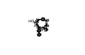 CC1NC(=O)[C@H](Cc2ccc(-c3ccccc3)cc2)NC(=O)[C@@H](Cc2cccs2)NC(=O)CCC(=O)NC2=CCC(C=C2)C[C@@H](C(=O)O)NC1=O